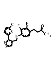 CC(=O)CCc1ccc(PCc2csnc2-c2ccc(Cl)s2)c(F)c1F